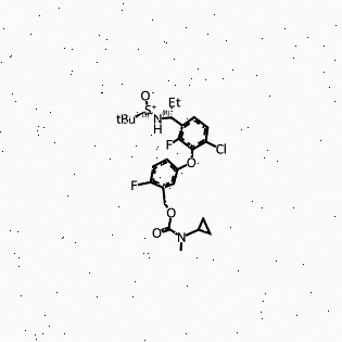 CC[C@@H](N[S@+]([O-])C(C)(C)C)c1ccc(Cl)c(Oc2ccc(F)c(COC(=O)N(C)C3CC3)c2)c1F